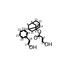 O=C(C=CO)OC12CC3CC(CC(C3)C1)C2.OC=Cc1ccccc1